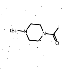 CC(C)(C)N1CCN(C(=O)I)CC1